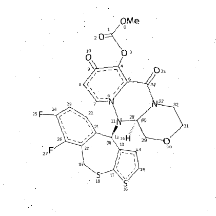 COC(=O)Oc1c2n(ccc1=O)N([C@H]1c3ccsc3SCc3c1ccc(F)c3F)[C@@H]1COCCN1C2=O